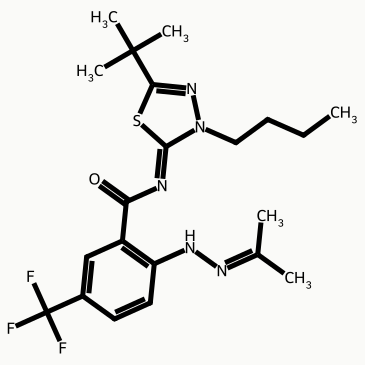 CCCCn1nc(C(C)(C)C)sc1=NC(=O)c1cc(C(F)(F)F)ccc1NN=C(C)C